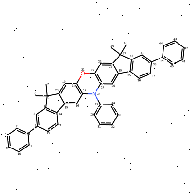 CC1(C)c2cc(-c3ccccc3)ccc2-c2cc3c(cc21)Oc1cc2c(cc1N3c1ccccc1)-c1ccc(-c3ccccc3)cc1C2(C)C